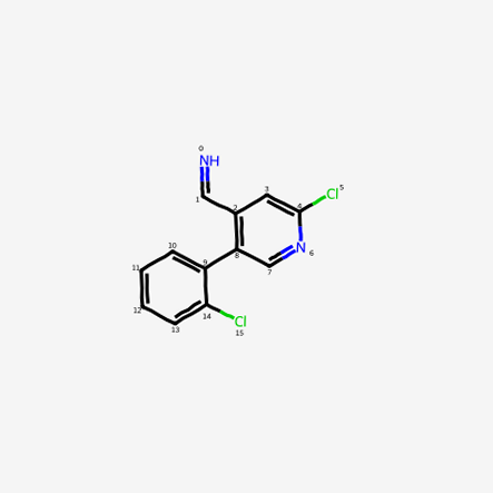 N=Cc1cc(Cl)ncc1-c1ccccc1Cl